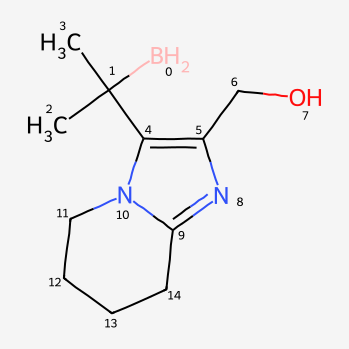 BC(C)(C)c1c(CO)nc2n1CCCC2